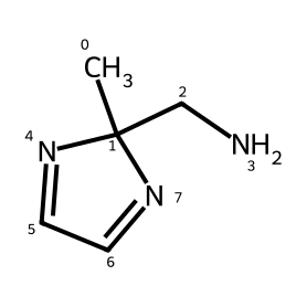 CC1(CN)N=CC=N1